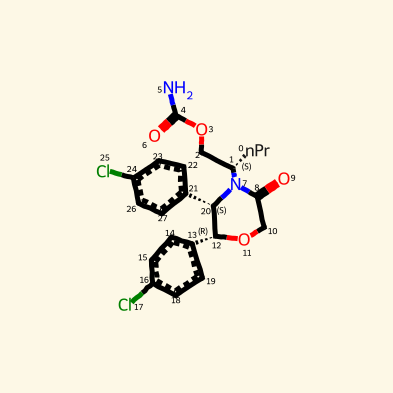 CCC[C@@H](COC(N)=O)N1C(=O)CO[C@H](c2ccc(Cl)cc2)[C@@H]1c1ccc(Cl)cc1